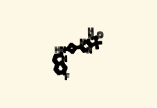 CC1(C)C(=O)Nc2nc(C3CC(Nc4ccc5ccc(F)cc5n4)C3)cnc21